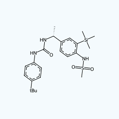 C[C@@H](NC(=O)Nc1ccc(C(C)(C)C)cc1)c1ccc(NS(C)(=O)=O)c([Si](C)(C)C)c1